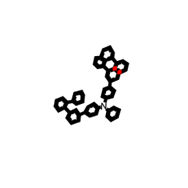 c1ccc(-c2ccccc2-c2cccc(-c3ccc(N(c4ccccc4)c4ccc(-c5cccc(-c6cccc7cccc(-c8ccccc8)c67)c5)cc4)cc3)c2)cc1